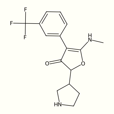 CNC1=C(c2cccc(C(F)(F)F)c2)C(=O)C(C2CCNC2)O1